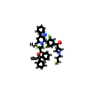 C[C@@H]1Cc2c([nH]c3ccccc23)[C@@H](c2c(F)cc(C(=O)C3CN(CCCF)C3)cc2F)N1C[C@@H](F)CO[Si](c1ccccc1)(c1ccccc1)C(C)(C)C